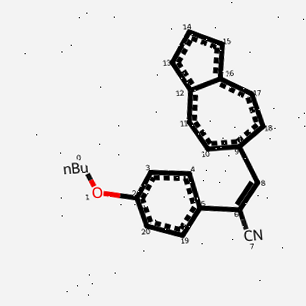 CCCCOc1ccc(C(C#N)=Cc2ccc3cccc-3cc2)cc1